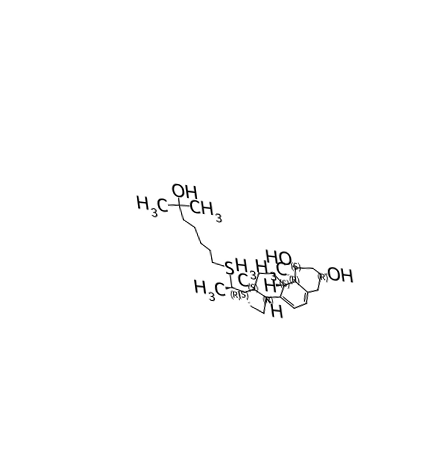 C[C@@H](SCCCCCC(C)(C)O)[C@H]1CC[C@H]2C3=CC=C4C[C@@H](O)C[C@H](O)[C@]4(C)[C@H]3CC[C@]12C